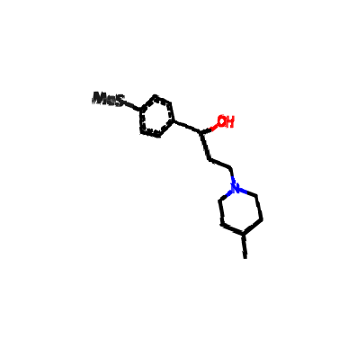 CSc1ccc(C(O)CCN2CCC(C)CC2)cc1